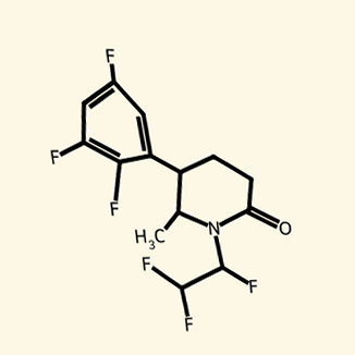 CC1C(c2cc(F)cc(F)c2F)CCC(=O)N1C(F)C(F)F